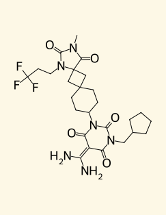 CN1C(=O)N(CCC(F)(F)F)C2(CC3(CCC(N4C(=O)C(=C(N)N)C(=O)N(CC5CCCC5)C4=O)CC3)C2)C1=O